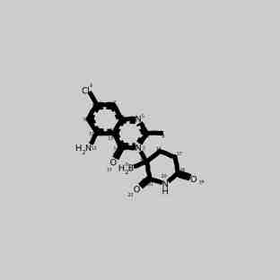 BC1(n2c(C)nc3cc(Cl)cc(N)c3c2=O)CCC(=O)NC1=O